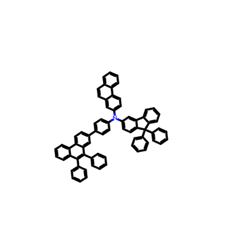 c1ccc(-c2c(-c3ccccc3)c3cc(-c4ccc(N(c5ccc6c(c5)-c5ccccc5C6(c5ccccc5)c5ccccc5)c5ccc6c(ccc7ccccc76)c5)cc4)ccc3c3ccccc23)cc1